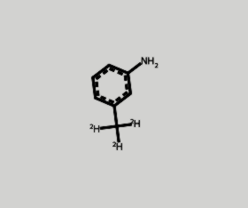 [2H]C([2H])([2H])c1cccc(N)c1